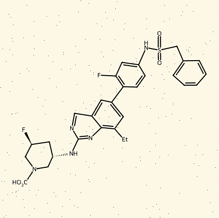 CCc1cc(-c2ccc(NS(=O)(=O)Cc3ccccc3)cc2F)cc2cnc(N[C@H]3C[C@H](F)CN(C(=O)O)C3)nc12